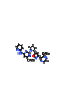 COc1cc(Nc2ccccn2)nc(N2CCCC2c2cc(-c3nccnc3OC)no2)n1